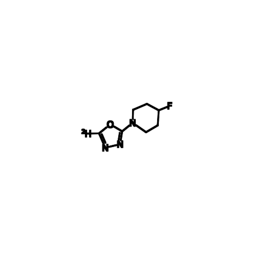 [2H]c1nnc(N2CCC(F)CC2)o1